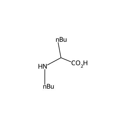 CCCCNC(CCCC)C(=O)O